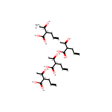 C=CCC(C(C)=O)C(=O)[O-].C=CCC(C(C)=O)C(=O)[O-].C=CCC(C(C)=O)C(=O)[O-].C=CCC(C(C)=O)C(=O)[O-].[Ti+4]